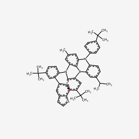 Cc1cc2c3c(c1)N(c1ccc(C(C)(C)C)cc1-c1ccc4sccc4c1)c1ccc(C(C)(C)C)cc1B3c1cc(C(C)C)ccc1N2c1ccc(C(C)(C)C)cc1